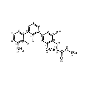 COc1cc(-c2cccc(-c3cccc(N)c3C)c2C)cc(F)c1CNC(=O)OC(C)(C)C